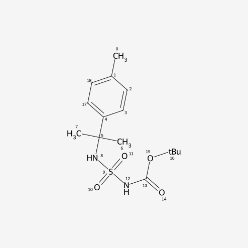 Cc1ccc(C(C)(C)NS(=O)(=O)NC(=O)OC(C)(C)C)cc1